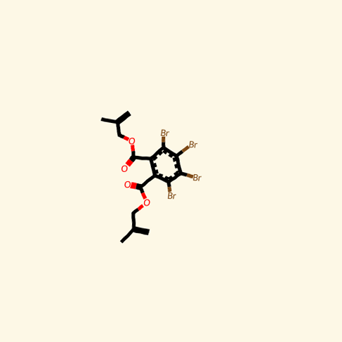 C=C(C)COC(=O)c1c(Br)c(Br)c(Br)c(Br)c1C(=O)OCC(=C)C